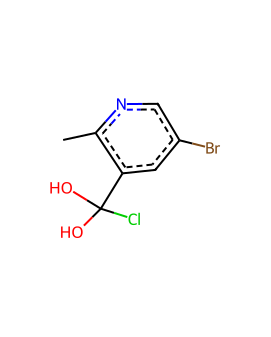 Cc1ncc(Br)cc1C(O)(O)Cl